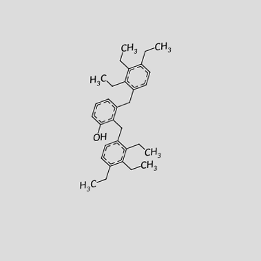 CCc1ccc(Cc2cccc(O)c2Cc2ccc(CC)c(CC)c2CC)c(CC)c1CC